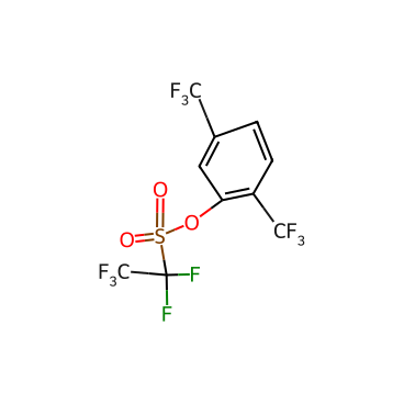 O=S(=O)(Oc1cc(C(F)(F)F)ccc1C(F)(F)F)C(F)(F)C(F)(F)F